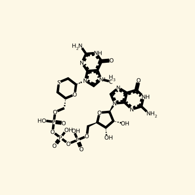 C[n+]1cn([C@H]2CSC[C@@H](COP(=O)(O)OP(=O)(O)OP(=O)(O)OC[C@H]3O[C@@H](n4cnc5c(=O)[nH]c(N)nc54)[C@H](O)[C@@H]3O)O2)c2nc(N)[nH]c(=O)c21